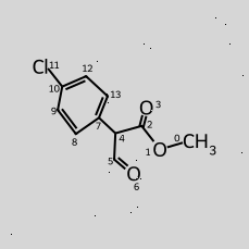 COC(=O)C(C=O)c1ccc(Cl)cc1